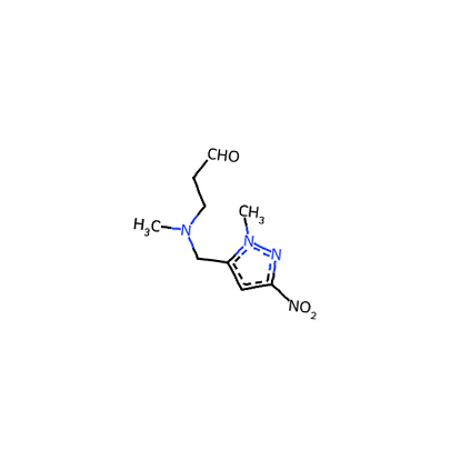 CN(CCC=O)Cc1cc([N+](=O)[O-])nn1C